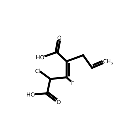 C=CCC(C(=O)O)=C(F)C(Cl)C(=O)O